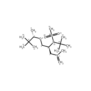 C=S(C)C[C@@H](CO[C@@H](C)C(C)(C)C)N(C(C)(C)C)S(C)(=O)=O